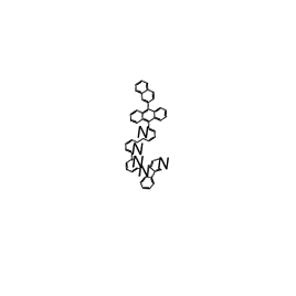 c1cc(-c2cccc(-c3c4ccccc4c(-c4ccc5ccccc5c4)c4ccccc34)n2)nc(-c2cccc(-n3c4ccccc4c4cnccc43)n2)c1